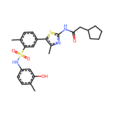 Cc1ccc(NS(=O)(=O)c2cc(-c3sc(NC(=O)CC4CCCC4)nc3C)ccc2C)cc1O